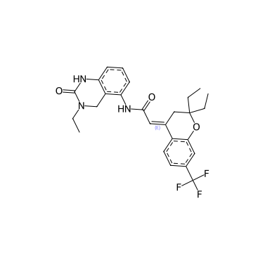 CCN1Cc2c(NC(=O)/C=C3\CC(CC)(CC)Oc4cc(C(F)(F)F)ccc43)cccc2NC1=O